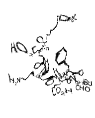 CCCCCCCCCCCCCCCC(=O)N[C@@H](CCC(=O)N[C@@H](CCCCN)C(=O)N[C@@H](CCC(=O)O)C(=O)N[C@@H](Cc1ccccc1)C(=O)N[C@H]([C]=O)[C@@H](C)CC)C(=O)O